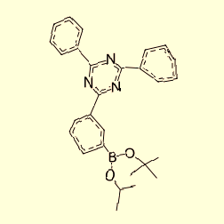 CC(C)OB(OC(C)(C)C)c1cccc(-c2nc(-c3ccccc3)nc(-c3ccccc3)n2)c1